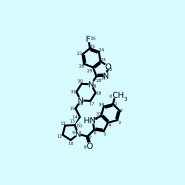 Cc1ccc2cc(C(=O)N3CCC[C@H]3CCN3CCN(c4noc5cc(F)ccc45)CC3)[nH]c2c1